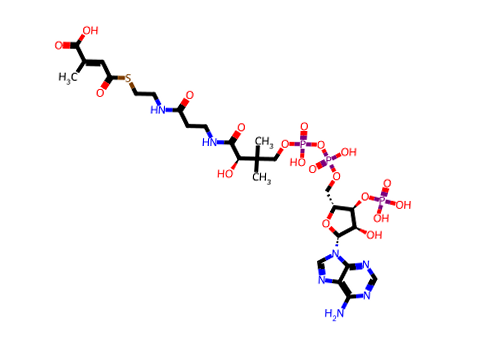 C/C(=C\C(=O)SCCNC(=O)CCNC(=O)[C@H](O)C(C)(C)COP(=O)(O)OP(=O)(O)OC[C@H]1O[C@@H](n2cnc3c(N)ncnc32)[C@H](O)[C@@H]1OP(=O)(O)O)C(=O)O